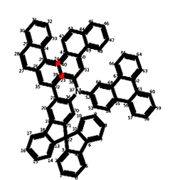 c1ccc2c(c1)-c1ccccc1C21c2ccccc2-c2cc(-c3ccc4c(ccc5ccccc54)c3)c(N(c3ccc4ccc5ccccc5c4c3)c3ccc4c5ccccc5c5ccccc5c4c3)cc21